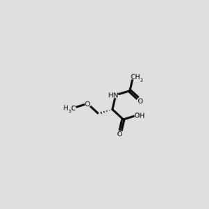 COC[C@H](NC(C)=O)C(=O)O